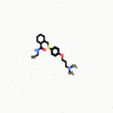 CN(C)CCCOc1ccc(SCC2CCCCC2C(=O)NCC#N)cc1